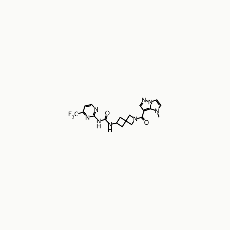 Cn1ccn2ncc(C(=O)N3CC4(CC(NC(=O)Nc5nccc(C(F)(F)F)n5)C4)C3)c12